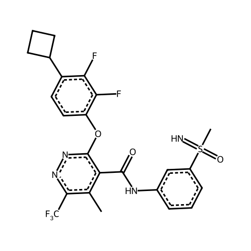 Cc1c(C(F)(F)F)nnc(Oc2ccc(C3CCC3)c(F)c2F)c1C(=O)Nc1cccc(S(C)(=N)=O)c1